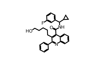 O=C(NC(c1cccc(F)c1)C1CC1)c1c(CCCCCO)c(-c2ccccc2)nc2ccccc12